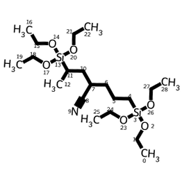 CCO[Si](CCCC(C#N)CC(C)[Si](OCC)(OCC)OCC)(OCC)OCC